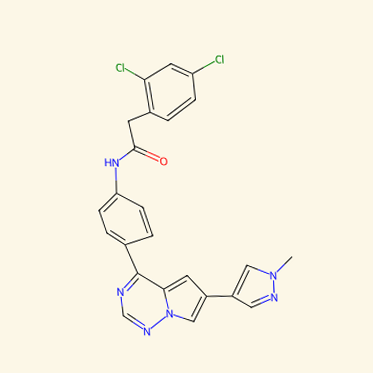 Cn1cc(-c2cc3c(-c4ccc(NC(=O)Cc5ccc(Cl)cc5Cl)cc4)ncnn3c2)cn1